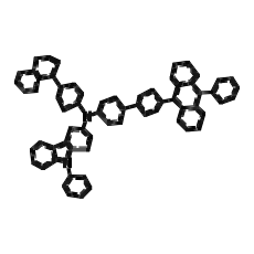 c1ccc(-c2c3ccccc3c(-c3ccc(-c4ccc(N(c5ccc(-c6cccc7ccccc67)cc5)c5ccc6c(c5)c5ccccc5n6-c5ccccc5)cc4)cc3)c3ccccc23)cc1